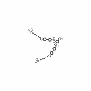 C=CC(=O)OCCCCCCCOc1ccc(-c2ccc(C(=O)Oc3ccc(C#N)cc3OC(=O)c3ccc(-c4ccc(OCCCCCCCOC(=O)C=C)cc4)nc3)cn2)cc1